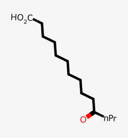 CCCC(=O)CCCCCCCCCC(=O)O